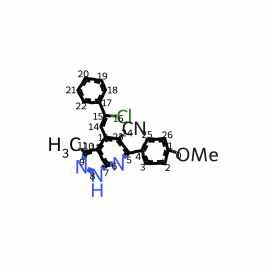 COc1ccc(-c2nc3[nH]nc(C)c3c(C=C(Cl)c3ccccc3)c2C#N)cc1